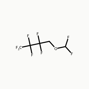 FC(F)OCC(F)(F)C(F)(F)C(F)(F)F